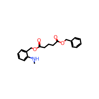 CNc1ccccc1COC(=O)CCCC(=O)OCc1ccccc1